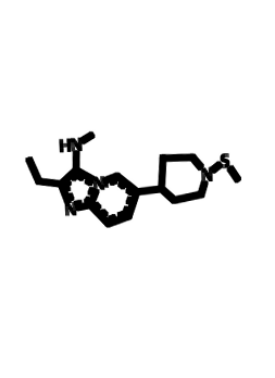 CCc1nc2ccc(C3CCN(SC)CC3)cn2c1NC